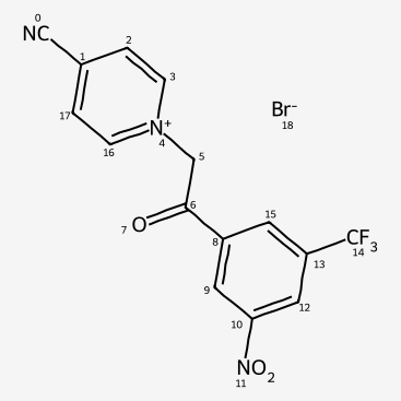 N#Cc1cc[n+](CC(=O)c2cc([N+](=O)[O-])cc(C(F)(F)F)c2)cc1.[Br-]